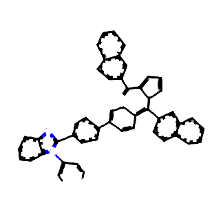 C=C(C1=CC=CC1/C(=C1/C=CC(c2ccc(-c3nc4ccccc4n3C(/C=C\CC)=C/C)cc2)=CC1)c1ccc2ccccc2c1)c1ccc2ccccc2c1